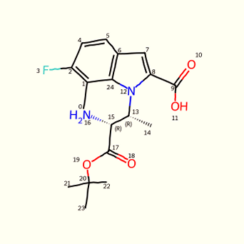 Cc1c(F)ccc2cc(C(=O)O)n([C@H](C)[C@@H](N)C(=O)OC(C)(C)C)c12